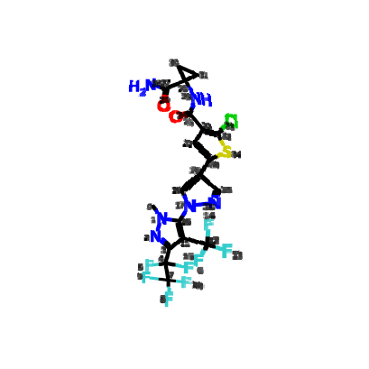 Cn1nc(C(F)(F)C(F)(F)F)c(C(F)(F)F)c1-n1cc(-c2cc(C(=O)NC3(C(N)=O)CC3)c(Cl)s2)cn1